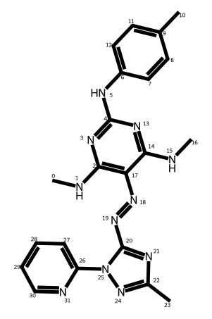 CNc1nc(Nc2ccc(C)cc2)nc(NC)c1/N=N/c1nc(C)nn1-c1ccccn1